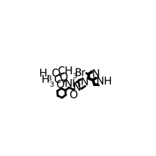 CC(C)(C)OC(=O)N[C@@H](C(=O)N1CCN(c2c(Br)cnc3[nH]ccc23)CC1)C1CCCCC1